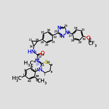 Cc1cc(C)c(N2CCCS/C2=N\C(=O)NC2CC2c2ccc(-c3ncn(-c4ccc(OC(F)(F)F)cc4)n3)cc2)c(C)c1